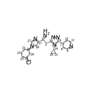 N[C@@H](Cc1nnc(-c2ccncc2)n1C1CC1)c1cn(-c2cccc(Cl)c2)cn1